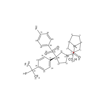 O=C(O)C1CC2CCC(C1)N2C(=O)N1CC[C@](c2ccc(C(F)(C(F)(F)F)C(F)(F)F)cc2)(S(=O)(=O)c2ccc(F)cc2)C1